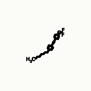 CCCCCCCCc1ccc(C#Cc2ccc(OC(F)F)cc2)cc1